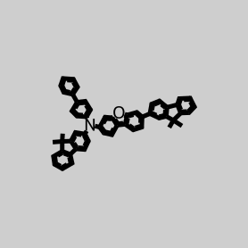 CC1(C)c2ccccc2-c2ccc(-c3ccc4c(c3)oc3cc(N(c5ccc(-c6ccccc6)cc5)c5ccc6c(c5)C(C)(C)c5ccccc5-6)ccc34)cc21